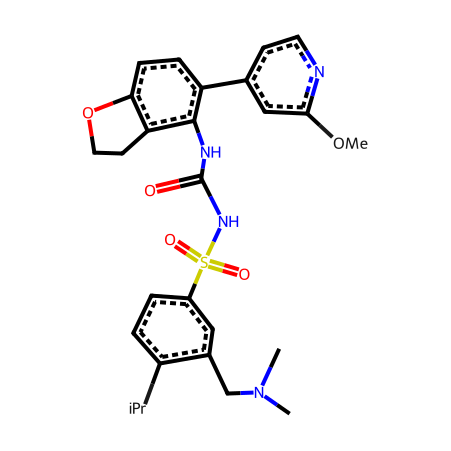 COc1cc(-c2ccc3c(c2NC(=O)NS(=O)(=O)c2ccc(C(C)C)c(CN(C)C)c2)CCO3)ccn1